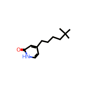 CC(C)(C)CCCCc1cc[nH]c(=O)c1